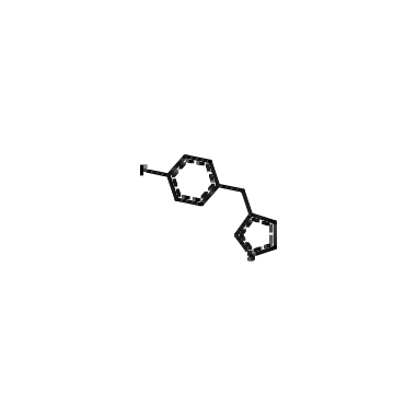 Fc1ccc(Cc2ccsc2)cc1